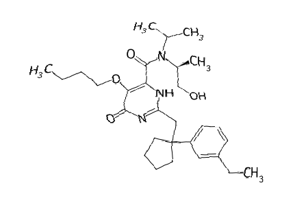 CCCCOc1c(C(=O)N(C(C)C)[C@@H](C)CO)[nH]c(CC2(c3cccc(CC)c3)CCCC2)nc1=O